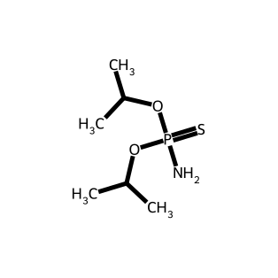 CC(C)OP(N)(=S)OC(C)C